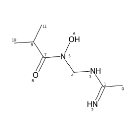 CC(=N)NCN(O)C(=O)C(C)C